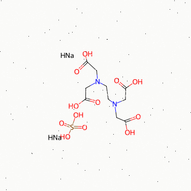 O=C(O)CN(CCN(CC(=O)O)CC(=O)O)CC(=O)O.O=S(=O)(O)O.[NaH].[NaH]